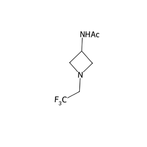 CC(=O)NC1CN(CC(F)(F)F)C1